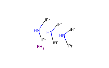 CC(C)NC(C)C.CC(C)NC(C)C.CC(C)NC(C)C.P